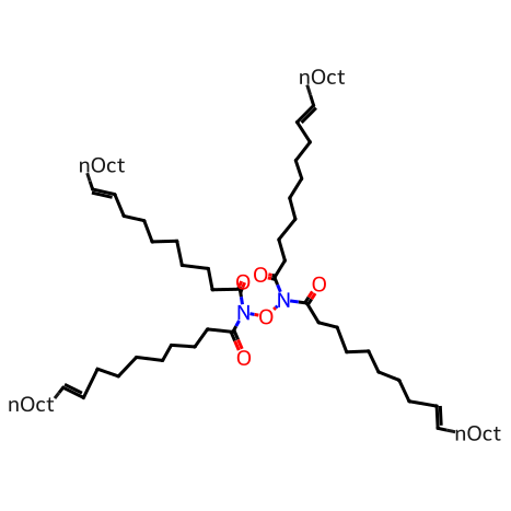 CCCCCCCCC=CCCCCCCCC(=O)N(ON(C(=O)CCCCCCCC=CCCCCCCCC)C(=O)CCCCCCCC=CCCCCCCCC)C(=O)CCCCCCCC=CCCCCCCCC